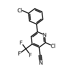 N#Cc1c(C(F)(F)F)cc(-c2cccc(Cl)c2)nc1Cl